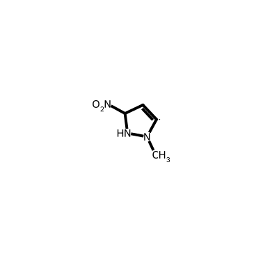 CN1[C]=CC([N+](=O)[O-])N1